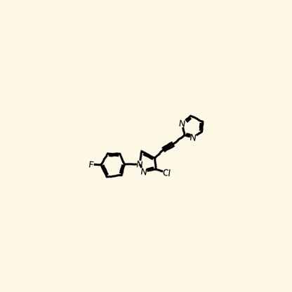 Fc1ccc(-n2cc(C#Cc3ncccn3)c(Cl)n2)cc1